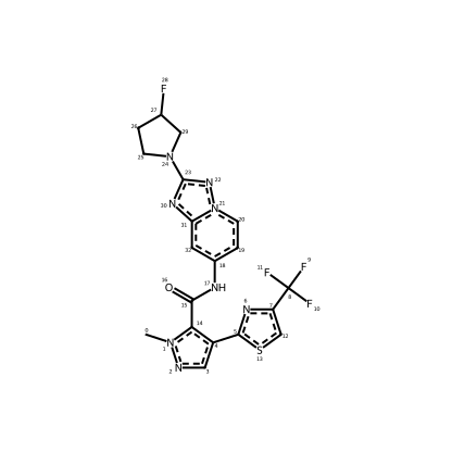 Cn1ncc(-c2nc(C(F)(F)F)cs2)c1C(=O)Nc1ccn2nc(N3CCC(F)C3)nc2c1